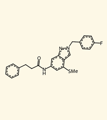 CSc1cc(NC(=O)CCc2ccccc2)cc2nn(Cc3ccc(F)cc3)cc12